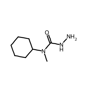 CN(C(=O)NN)C1CCCCC1